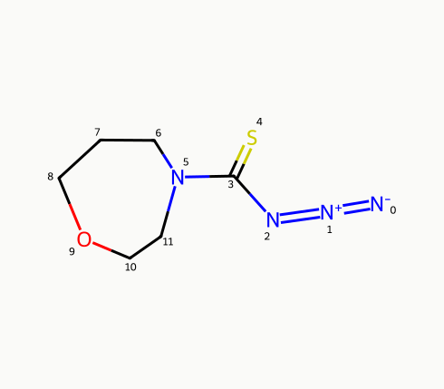 [N-]=[N+]=NC(=S)N1CCCOCC1